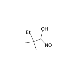 CCC(C)(C)C(O)N=O